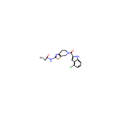 CC(C)(C)CC(=O)Nc1nc2c(s1)CN(C(=O)c1cc3c(Cl)cccc3[nH]1)CC2